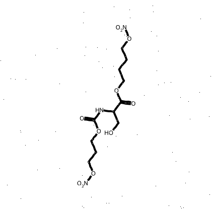 O=C(NC(CO)C(=O)OCCCCO[N+](=O)[O-])OCCCO[N+](=O)[O-]